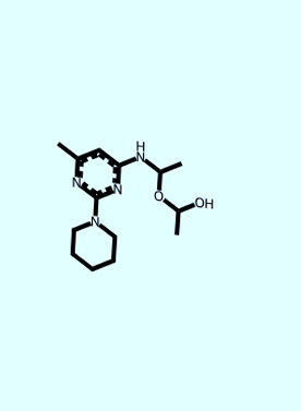 Cc1cc(NC(C)OC(C)O)nc(N2CCCCC2)n1